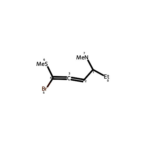 CCC(C=C=C(Br)SC)NC